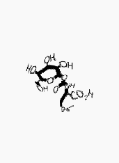 CC(C)C[C@H](NC(=O)OC1O[C@H](CO)[C@@H](O)[C@H](O)[C@H]1O)C(=O)O